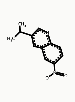 CC(C)c1cnc2ccc([N+](=O)[O-])cc2c1